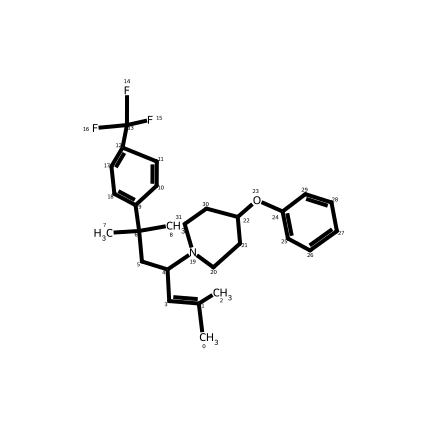 CC(C)=CC(CC(C)(C)c1ccc(C(F)(F)F)cc1)N1CCC(Oc2ccccc2)CC1